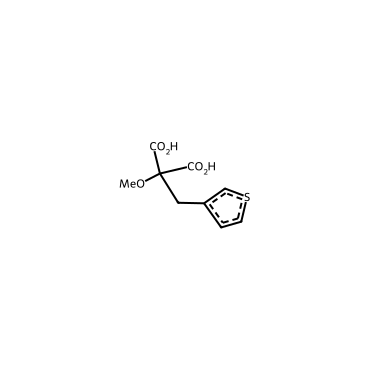 COC(Cc1ccsc1)(C(=O)O)C(=O)O